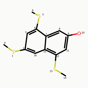 CSc1cc(SC)c2cc([O])cc(SC)c2c1